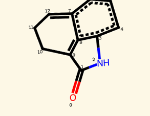 O=C1Nc2cccc3c2=C1CCC=3